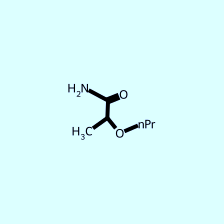 CCCOC(C)C(N)=O